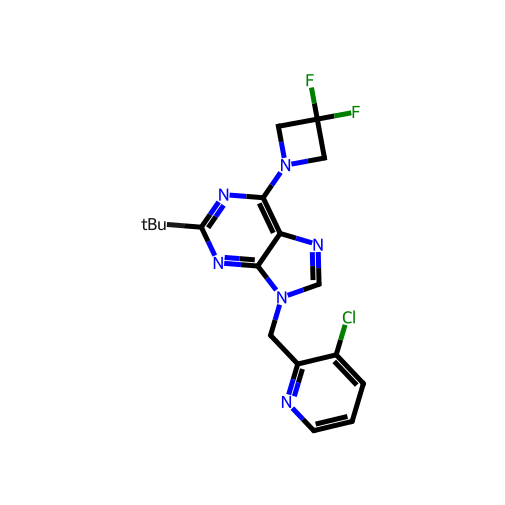 CC(C)(C)c1nc(N2CC(F)(F)C2)c2ncn(Cc3ncccc3Cl)c2n1